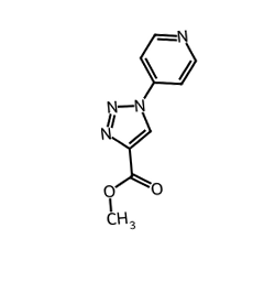 COC(=O)c1cn(-c2ccncc2)nn1